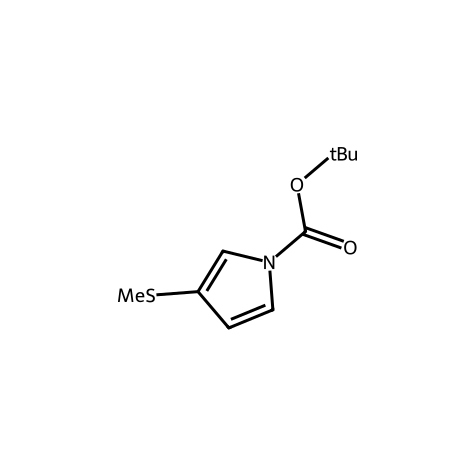 CSc1ccn(C(=O)OC(C)(C)C)c1